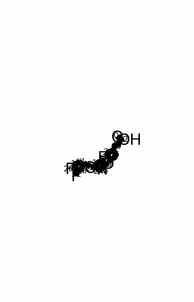 O=C(O)C=Cc1ccc(Oc2ccc(OCc3ccc(F)c(F)c3)cn2)c(F)c1